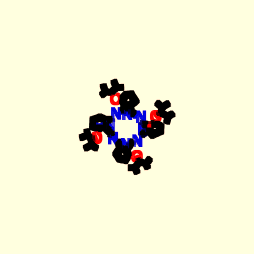 CC(C)C(Oc1cccc2c1-c1nc-2nc2c3c(OC(C(C)C)C(C)C)cccc3c(nc3nc(nc4[nH]c(n1)c1cccc(OC(C(C)C)C(C)C)c41)-c1cccc(OC(C(C)C)C(C)C)c1-3)n2C)C(C)C